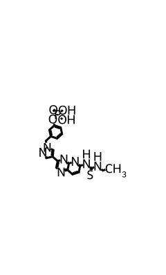 CCNC(=S)Nc1ccc2ncc(-c3cnn(Cc4cccc(OP(=O)(O)O)c4)c3)nc2n1